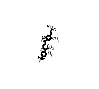 Cc1cc2c(CCc3sc4cc(C(F)(F)F)ccc4c3C(C)C)noc2cc1/C=C/C(=O)O